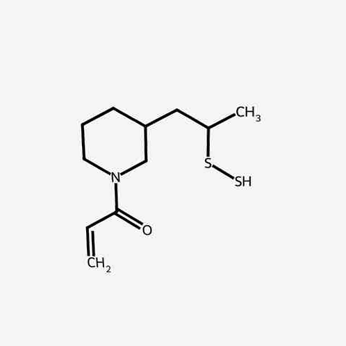 C=CC(=O)N1CCCC(CC(C)SS)C1